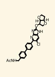 CC(=O)NCc1ccc(-c2ccc(-c3nc4nc(OC5CO[C@@H]6CCO[C@H]56)[nH]c4cc3Cl)cc2)cc1